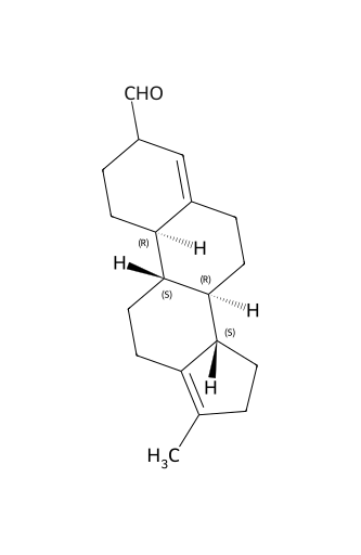 CC1=C2CC[C@H]3[C@@H](CCC4=CC(C=O)CC[C@@H]43)[C@@H]2CC1